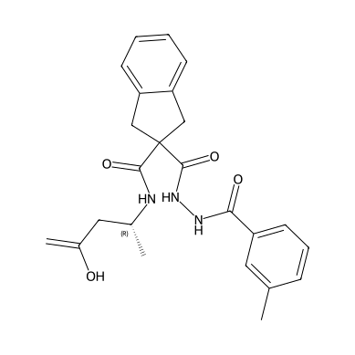 C=C(O)C[C@@H](C)NC(=O)C1(C(=O)NNC(=O)c2cccc(C)c2)Cc2ccccc2C1